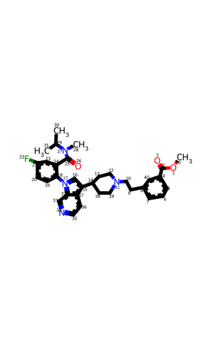 COC(=O)c1cccc(CCN2CCC(c3cn(-c4ccc(F)cc4C(=O)N(C)C(C)C)c4cnccc34)CC2)c1